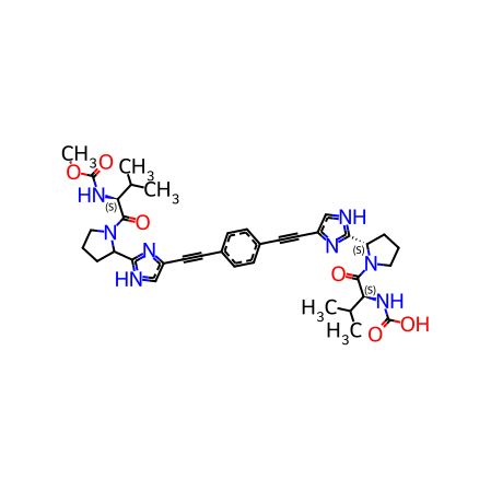 COC(=O)N[C@H](C(=O)N1CCCC1c1nc(C#Cc2ccc(C#Cc3c[nH]c([C@@H]4CCCN4C(=O)[C@@H](NC(=O)O)C(C)C)n3)cc2)c[nH]1)C(C)C